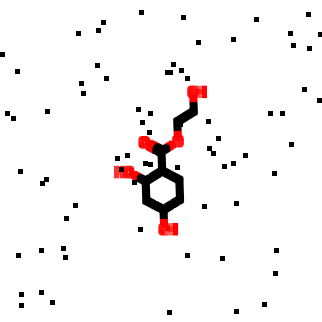 O=C(OCCO)C1CCC(O)CC1O